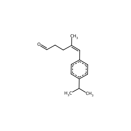 C/C(=C/c1ccc(C(C)C)cc1)CCC=O